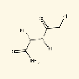 CC[C@@H](C(N)=O)N(CC)C(=O)CCl